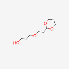 OCCCOCCC1OCCCO1